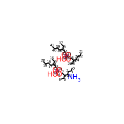 CCCCC(CC)COP(=O)(O)OCC(CC)CCCC.CCCCC(CC)COP(=O)(O)OCC(CC)CCCC.N